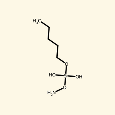 CCCCCO[Si](O)(O)ON